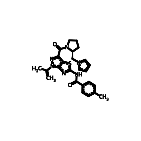 C=C(C)n1nc(C(=O)N2CCC[C@H]2Cn2cccc2)c2sc(NC(=O)c3ccc(C)cc3)nc21